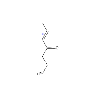 CCCCCC(=O)/C=C/I